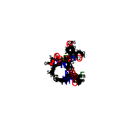 CCC(C)N(C(=O)O)[C@@H]1C(=O)N2[C@@H](C[C@@](C)(Oc3nc4c(c5cc(OC)ccc35)CCCO4)C2(F)F)C(=O)N[C@]2(C(=O)NS(=O)(=O)C3(CF)CC3)C[C@H]2/C=C\CC[C@@H](C)C[C@H]1CC